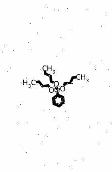 CCCCO[Si](OCCCC)(OCCCC)c1ccccc1